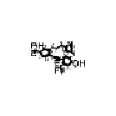 Cc1cnn(CCCc2cc(C(=O)O)ccc2C#Cc2ccc(O)cc2C(F)(F)F)c1